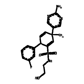 Nc1ncc(C2(C(F)(F)F)C=CC(c3cccc(F)c3)C(S(=O)(=O)NCCO)=C2)cn1